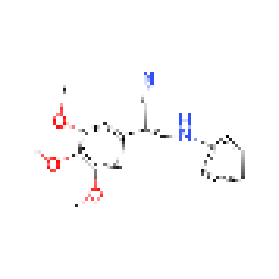 COc1cc(C(C#N)=CNc2ccccc2)cc(OC)c1OC